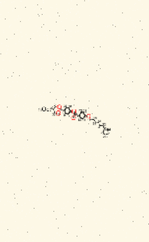 CCCCCCCCC1COC(c2ccc(OC(=O)c3ccc(OCCCCCCC4CCCC4)cc3)cc2)OC1